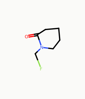 O=C1CCCCN1CF